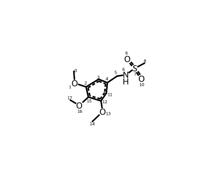 COc1cc(CNS(C)(=O)=O)cc(OC)c1OC